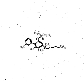 CCCCCCC(C)(C)c1cc(O)c(-c2cccc(C)c2)c(OP(C)(=O)OC)c1